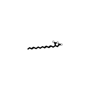 CCC=CCCCCC=CC=CCC1CC(=O)OC1=O